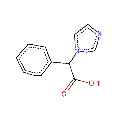 O=C(O)C(c1ccccc1)n1ccnc1